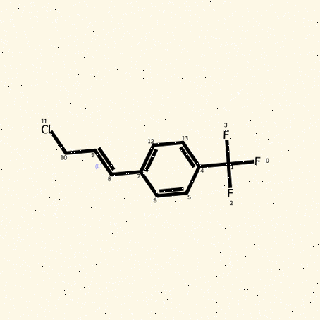 FC(F)(F)c1ccc(/C=C/CCl)cc1